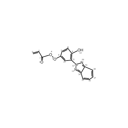 C=CC(=O)OOc1ccc(O)c(-n2nc3ccccc3n2)c1